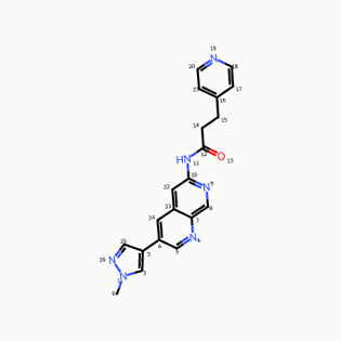 Cn1cc(-c2cnc3cnc(NC(=O)CCc4ccncc4)cc3c2)cn1